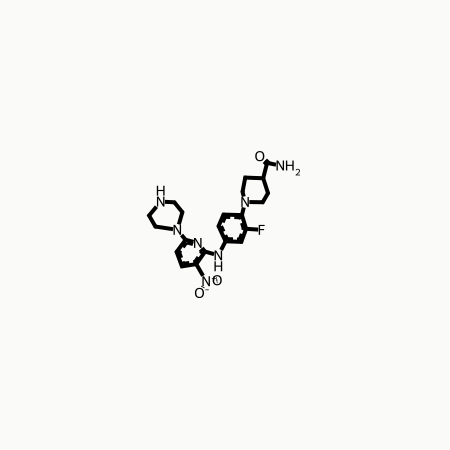 NC(=O)C1CCN(c2ccc(Nc3nc(N4CCNCC4)ccc3[N+](=O)[O-])cc2F)CC1